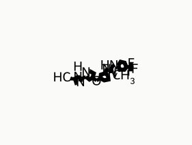 C#Cc1cnc(-c2cc(Oc3ccc4c(c3)nc(Nc3ccc(C(F)(F)F)cc3)n4C)ccn2)[nH]1